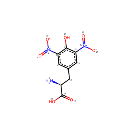 N[C@@H](Cc1cc([N+](=O)[O-])c(O)c([N+](=O)[O-])c1)C(=O)O